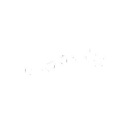 CC(C)(C)OC(=O)CCN1CCc2nc(-c3ccc(OCc4cccc(F)c4)cc3)ncc2C1